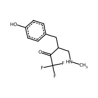 CNCC(Cc1ccc(O)cc1)C(=O)C(F)(F)F